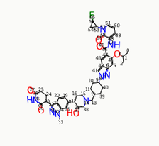 CC(C)Oc1cc2nn([C@H]3CC[C@H](CN4CC[C@@H](c5ccc6c(C7CCC(=O)NC7=O)nn(C)c6c5)[C@@H](O)C4)CC3)cc2cc1C(=O)Nc1cccn([C@H]2C[C@H]2F)c1=O